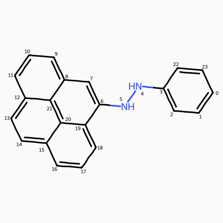 c1ccc(NNc2cc3cccc4ccc5cccc2c5c43)cc1